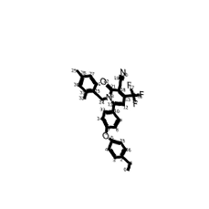 CCc1ccc(Oc2ccc(-c3cc(C(F)(F)F)c(C#N)c(=O)n3Cc3ccc(C)cc3C)cc2)cc1